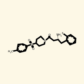 Cc1ccc(S(=O)(=O)C2CCN(C(=O)C[C@H](N)Cc3ccccc3F)CC2)cc1